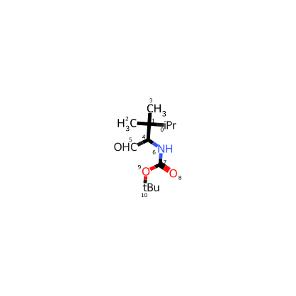 CC(C)C(C)(C)C(C=O)NC(=O)OC(C)(C)C